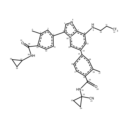 Cc1cc(-c2cnc3c(NCCC(F)(F)F)cc(-c4ccc(C(=O)NC5(C#N)CC5)c(C)c4)cn23)ccc1C(=O)NC1CC1